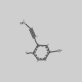 CCCC#Cc1cc(Cl)ccc1C